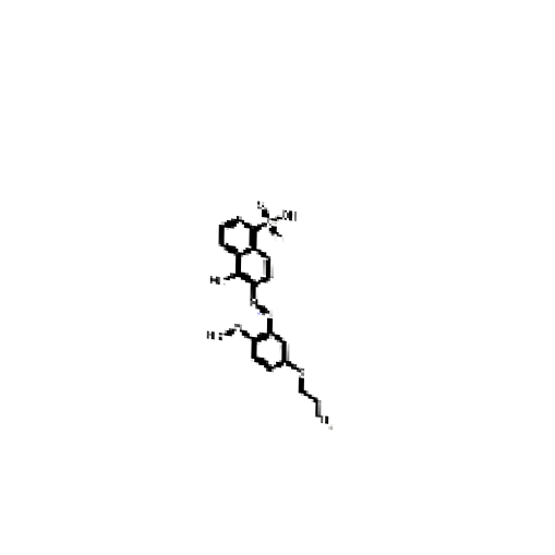 CCCSc1ccc(OC)c(/N=N/c2ccc3c(S(=O)(=O)O)cccc3c2O)c1